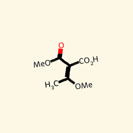 COC(=O)C(C(=O)O)=C(C)OC